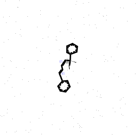 C[C@](I)(/C=C\C=C\c1ccccc1)c1ccccc1